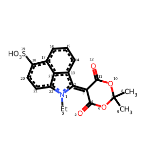 CCn1c(=C2C(=O)OC(C)(C)OC2=O)c2cccc3c(S(=O)(=O)O)ccc1c32